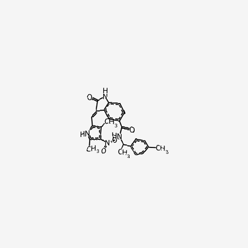 Cc1ccc(C(C)NC(=O)c2ccc3c(c2)C(=Cc2[nH]c(C)c([N+](=O)[O-])c2C)C(=O)N3)cc1